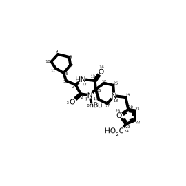 CCCCN1C(=O)C(CC2CCCCC2)NC(=O)C12CCN(Cc1ccc(C(=O)O)o1)CC2